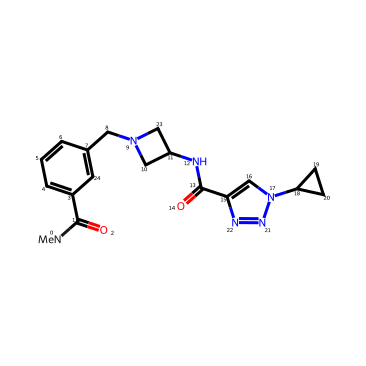 CNC(=O)c1cccc(CN2CC(NC(=O)c3cn(C4CC4)nn3)C2)c1